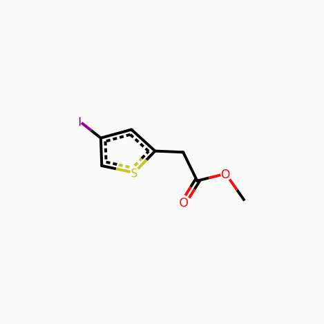 COC(=O)Cc1cc(I)cs1